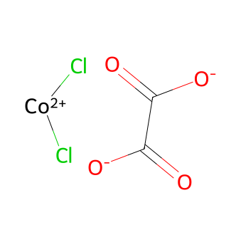 O=C([O-])C(=O)[O-].[Cl][Co+2][Cl]